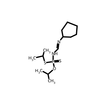 CC(C)OP(=S)(NC=NC1CCCCC1)SC(C)C